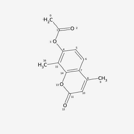 [CH2]C(=O)Oc1ccc2c(C)cc(=O)oc2c1C